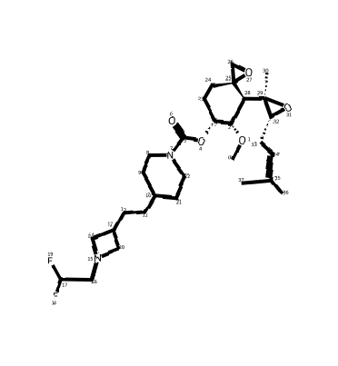 CO[C@@H]1[C@H](OC(=O)N2CCC(CCC3CN(CC(F)F)C3)CC2)CC[C@]2(CO2)[C@H]1[C@@]1(C)O[C@@H]1CC=C(C)C